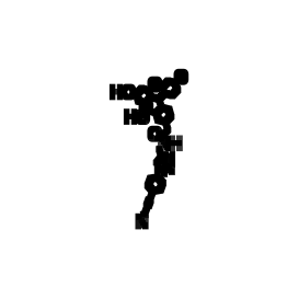 N#CC#Cc1ccc(-n2cc(CNC(=O)Cc3ccc(-c4c5ccc(=O)cc-5oc5cc(O)ccc45)c(C(=O)O)c3)nn2)cc1